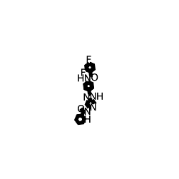 O=C(Nc1ccc(-c2nc3cc(NC(=O)C4CCCCC4)ncc3[nH]2)cc1)c1ccc(F)cc1F